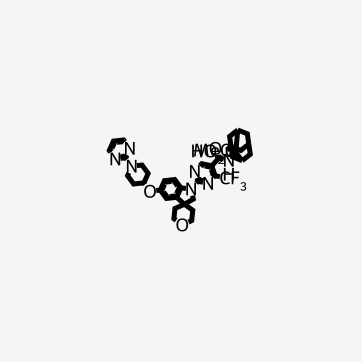 COC12CC3CC(C1)C(NC(=O)c1cnc(N4CC5(CCOCC5)c5cc(OC6CCN(c7ncccn7)CC6)ccc54)nc1C(F)(F)F)(C(=O)O)C(C3)C2